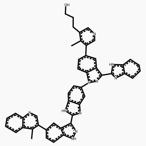 Cc1c(CCCO)cncc1-c1ccc2c(c1)c(-c1nc3ccccc3[nH]1)nn2-c1ccc2[nH]c(-c3n[nH]c4ccc(-c5cnc6ccccc6c5C)cc34)nc2c1